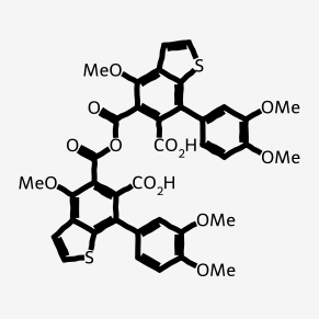 COc1ccc(-c2c(C(=O)O)c(C(=O)OC(=O)c3c(C(=O)O)c(-c4ccc(OC)c(OC)c4)c4sccc4c3OC)c(OC)c3ccsc23)cc1OC